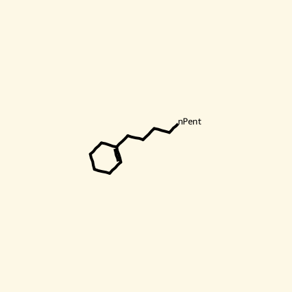 [CH2]CCCCCCCCC1=CCCCC1